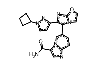 NC(=O)c1cnc2ccc(-c3c(-c4ccn(C5CCC5)n4)nc4occn34)cn12